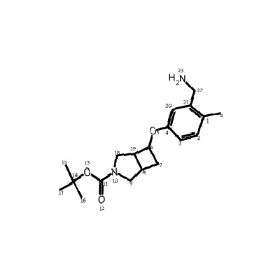 Cc1ccc(OC2CC3CN(C(=O)OC(C)(C)C)CC32)cc1CN